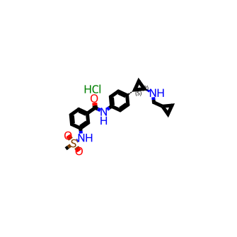 CS(=O)(=O)Nc1cccc(C(=O)Nc2ccc([C@@H]3C[C@H]3NCC3CC3)cc2)c1.Cl